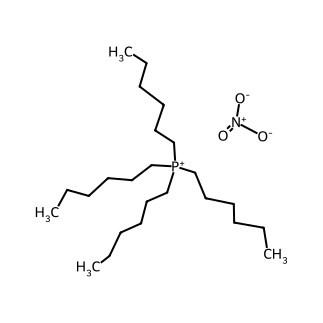 CCCCCC[P+](CCCCCC)(CCCCCC)CCCCCC.O=[N+]([O-])[O-]